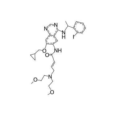 COCCN(CC=CC(=O)Nc1cc2c(NC(C)c3ccccc3I)ncnc2cc1OCC1CC1)CCOC